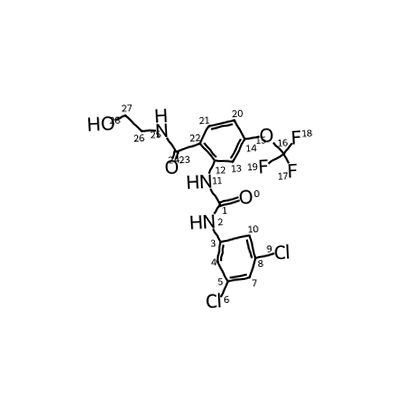 O=C(Nc1cc(Cl)cc(Cl)c1)Nc1cc(OC(F)(F)F)ccc1C(=O)NCCO